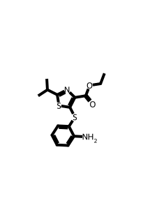 CCOC(=O)c1nc(C(C)C)sc1Sc1ccccc1N